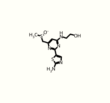 C[S+]([O-])Cc1cc(NCCO)nc(-c2cnc(N)s2)n1